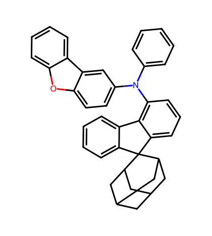 c1ccc(N(c2ccc3oc4ccccc4c3c2)c2cccc3c2-c2ccccc2C32C3CC4CC(C3)CC2C4)cc1